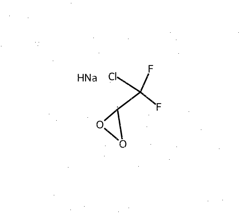 FC(F)(Cl)[C]1OO1.[NaH]